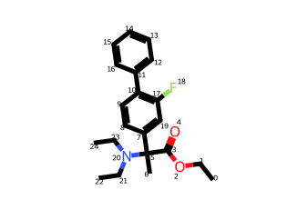 CCOC(=O)C(C)(c1ccc(-c2ccccc2)c(F)c1)N(CC)CC